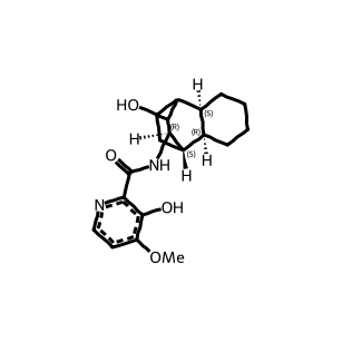 COc1ccnc(C(=O)N[C@H]2C(O)C3CC[C@H]2[C@@H]2CCCC[C@H]32)c1O